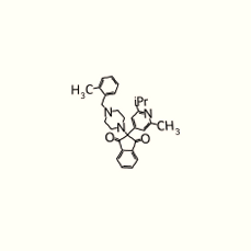 Cc1cc(C2(N3CCN(Cc4ccccc4C)CC3)C(=O)c3ccccc3C2=O)cc(C(C)C)n1